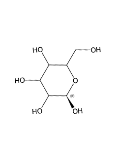 OCC1O[C@@H](O)C(O)C(O)C1O